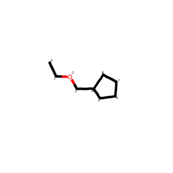 C[CH]OCC1CCCC1